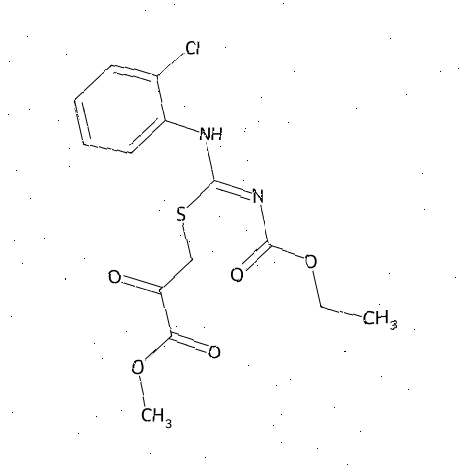 CCOC(=O)/N=C(/Nc1ccccc1Cl)SCC(=O)C(=O)OC